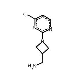 NCC1CN(c2nccc(Cl)n2)C1